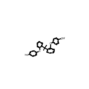 CC(C)(c1ccccc1Oc1ccc(O)cc1)c1ccccc1Oc1ccc(O)cc1